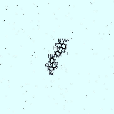 CNC(=O)c1ccccc1Nc1cc(Nc2ccc3c(c2)OCC2CN(C(C)=O)CC(=O)N32)ncc1C(F)(F)F